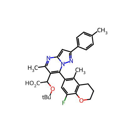 Cc1ccc(-c2cc3nc(C)c(C(OC(C)(C)C)C(=O)O)c(-c4cc(F)c5c(c4C)CCCO5)n3n2)cc1